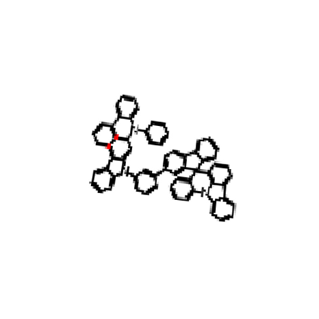 c1ccc(-c2ccccc2N(c2ccccc2)c2ccc3c4ccccc4n(-c4cccc(-c5ccc6c(c5)C5(c7ccccc7-6)c6ccccc6-n6c7ccccc7c7cccc5c76)c4)c3c2)cc1